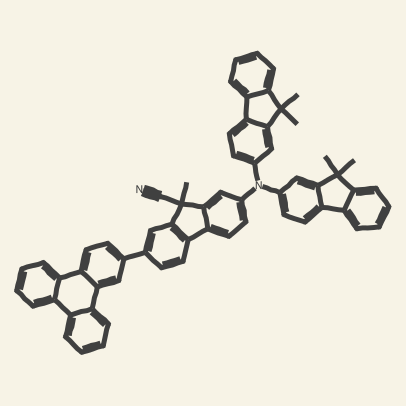 CC1(C)c2ccccc2-c2ccc(N(c3ccc4c(c3)C(C)(C)c3ccccc3-4)c3ccc4c(c3)C(C)(C#N)c3cc(-c5ccc6c7ccccc7c7ccccc7c6c5)ccc3-4)cc21